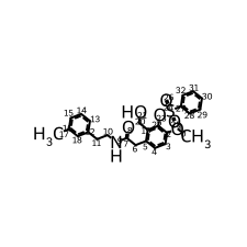 COc1ccc(CC(=O)NCCc2cccc(C)c2)c(CO)c1OS(=O)(=O)c1ccccc1